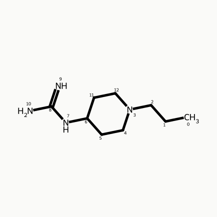 CCCN1CCC(NC(=N)N)CC1